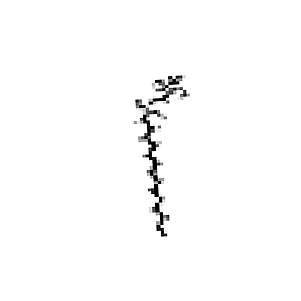 CCCCCCCCCCCCCC[N+](C)(C)CCS(=O)(=O)[O-]